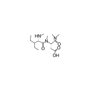 CCC(CC)[C@H](NC)C(=O)N(C)[C@@H](CC(=O)O)C(=O)N(C)C